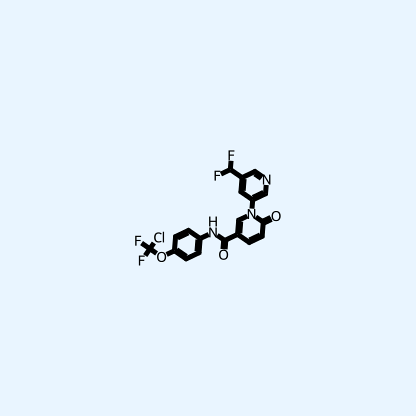 O=C(Nc1ccc(OC(F)(F)Cl)cc1)c1ccc(=O)n(-c2cncc(C(F)F)c2)c1